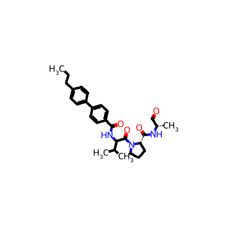 CCCc1ccc(-c2ccc(C(=O)NC(C(=O)N3CCC[C@H]3C(=O)N[C@@H](C)C=O)C(C)C)cc2)cc1